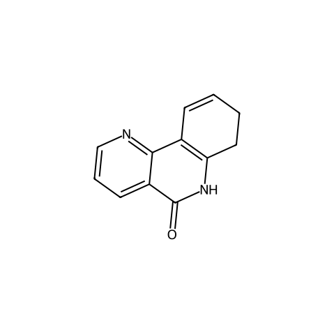 O=c1[nH]c2c(c3ncccc13)C=CCC2